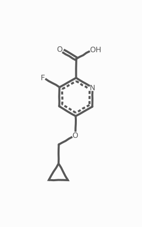 O=C(O)c1ncc(OCC2CC2)cc1F